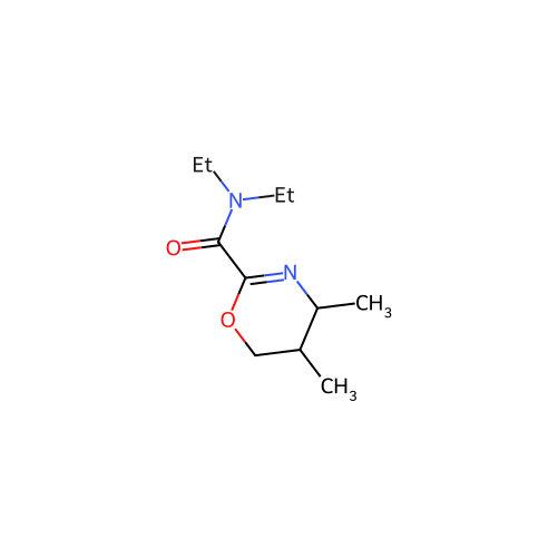 CCN(CC)C(=O)C1=NC(C)C(C)CO1